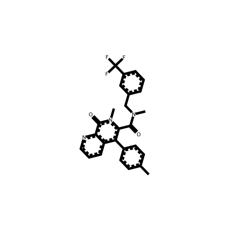 Cc1ccc(-c2c(C(=O)N(C)Cc3cccc(C(F)(F)F)c3)n(C)c(=O)c3ncccc23)cc1